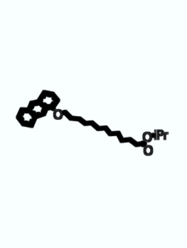 CC(C)OC(=O)CCCCCCCCCCCCOc1cccc2cc3ccccc3cc12